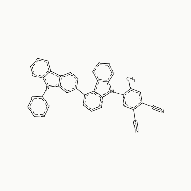 Cc1cc(C#N)c(C#N)cc1-n1c2ccccc2c2c(-c3ccc4c5ccccc5n(-c5ccccc5)c4c3)cccc21